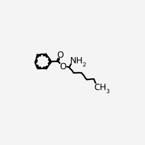 CCCCCC(N)OC(=O)c1ccccc1